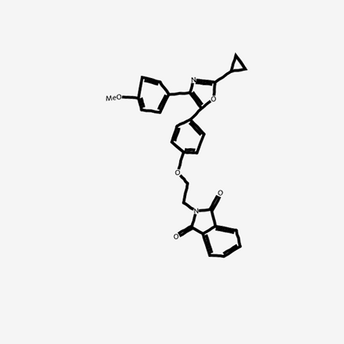 COc1ccc(-c2nc(C3CC3)oc2-c2ccc(OCCN3C(=O)c4ccccc4C3=O)cc2)cc1